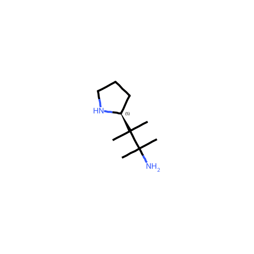 CC(C)(N)C(C)(C)[C@@H]1CCCN1